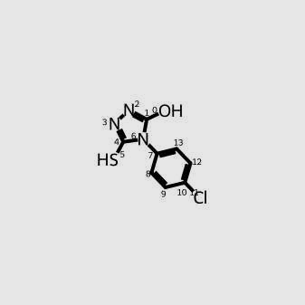 Oc1nnc(S)n1-c1ccc(Cl)cc1